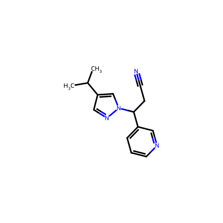 CC(C)c1cnn(C(CC#N)c2cccnc2)c1